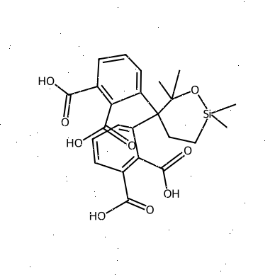 CC1(C)O[Si](C)(C)CCC1(c1cccc(C(=O)O)c1C(=O)O)c1cccc(C(=O)O)c1C(=O)O